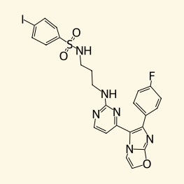 O=S(=O)(NCCCNc1nccc(-c2c(-c3ccc(F)cc3)nc3occn23)n1)c1ccc(I)cc1